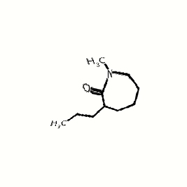 CCCC1CCCCN(C)C1=O